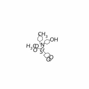 COC(=O)c1sc(C2CCC3(CC2)OCCO3)cc1N(CC1CCC(C)CC1)C1CCC(O)CC1